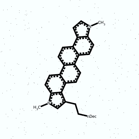 CCCCCCCCCCCCc1cn(C)c2ccc3c4ccc5c(ccc6c5ccn6C)c4ccc3c12